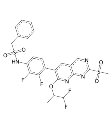 CC(Oc1nc2nc(S(C)(=O)=O)ncc2cc1-c1ccc(NS(=O)(=O)Cc2ccccc2)c(F)c1F)C(F)F